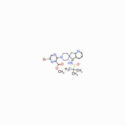 COC(=O)c1nc(Br)cnc1N1CCC2(CC1)Cc1ncccc1[C@H]2N[S+]([O-])C(C)(C)C